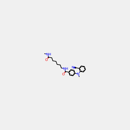 CNC(=O)CCCCCCNC(=O)c1ccc(N(C)c2ccccc2C#N)cc1